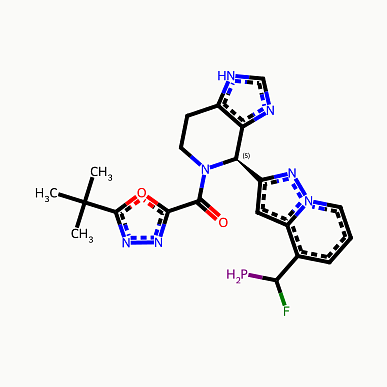 CC(C)(C)c1nnc(C(=O)N2CCc3[nH]cnc3[C@H]2c2cc3c(C(F)P)cccn3n2)o1